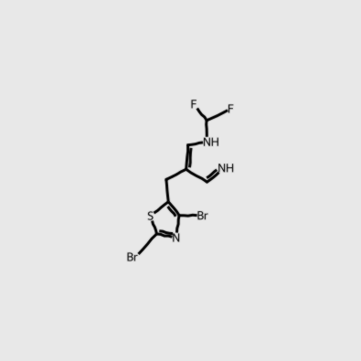 N=C/C(=C\NC(F)F)Cc1sc(Br)nc1Br